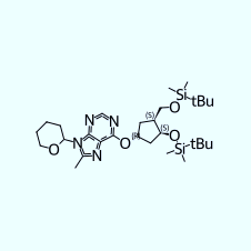 Cc1nc2c(O[C@@H]3C[C@@H](CO[Si](C)(C)C(C)(C)C)[C@@H](O[Si](C)(C)C(C)(C)C)C3)ncnc2n1C1CCCCO1